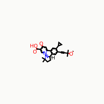 COC(C)(C)C#Cc1cc2c(cc1C1CC1)-c1cc(=O)c(C(=O)O)cn1N1[C@@H]2CCC1(C)C